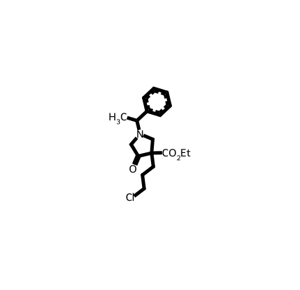 CCOC(=O)C1(CCCCl)CN(C(C)c2ccccc2)CC1=O